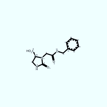 O=C(CN1C(=O)NC[C@H]1C(=O)O)OCc1ccccc1